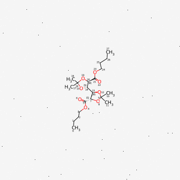 CCCCOC(=O)[C@H]1OC(C)(C)O[C@@H]1[C@@H]1OC(C)(C)O[C@H]1C(=O)OCCCC